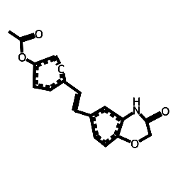 CC(=O)Oc1ccc(C=Cc2ccc3c(c2)NC(=O)CO3)cc1